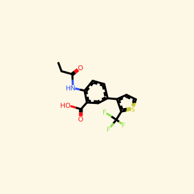 CCC(=O)Nc1ccc(-c2ccsc2C(F)(F)F)cc1C(=O)O